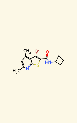 Cc1cc(C)c2c(Br)c(C(=O)NC3CCC3)sc2n1